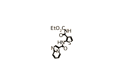 CCOC(=O)NC(=O)c1ccsc1NC(=O)c1cnc2ccccn12